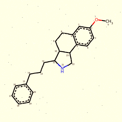 COc1ccc2c(c1)CCC1C(CCCc3ccccc3)NCC21